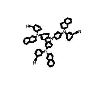 N#Cc1cccc(N(c2ccc(-n3c4ccc(N(c5cccc(C#N)c5)c5ccc6ccccc6c5)cc4c4cc(N(c5cccc(C#N)c5)c5ccc6ccccc6c5)ccc43)cc2)c2ccc3ccccc3c2)c1